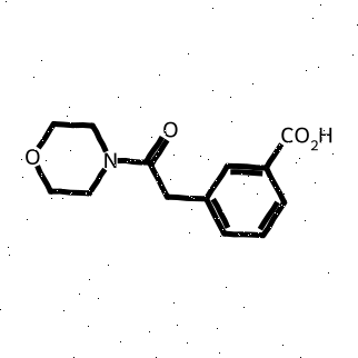 O=C(O)c1cccc(CC(=O)N2CCOCC2)c1